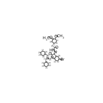 COc1ccc(CC(=O)N/N=C2\C(=O)N(CN(Cc3ccccc3)Cc3ccccc3)c3ccc(Br)cc32)cc1OC